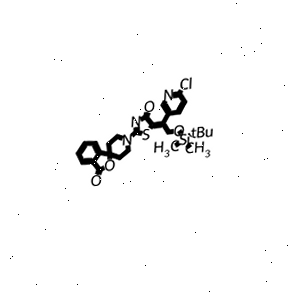 CC(C)(C)[Si](C)(C)OCC(=C1SC(N2CCC3(CC2)OC(=O)c2ccccc23)=NC1=O)c1ccc(Cl)nc1